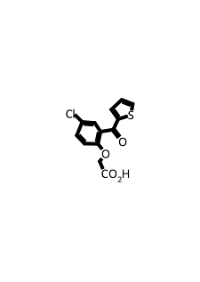 O=C(O)COc1ccc(Cl)cc1C(=O)c1cccs1